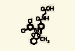 C[C@@H](C1CCCCC1)N(Cc1ccc(C(=O)NCCC(=O)O)cc1)C(=O)Nc1cc(Cl)cc(Cl)c1